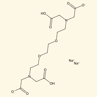 O=C([O-])CN(CCOCCOCCN(CC(=O)[O-])CC(=O)O)CC(=O)O.[Na+].[Na+]